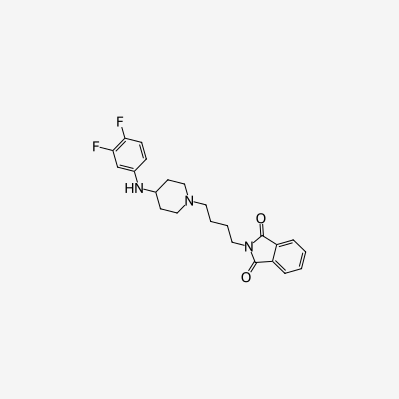 O=C1c2ccccc2C(=O)N1CCCCN1CCC(Nc2ccc(F)c(F)c2)CC1